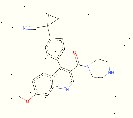 COc1ccc2c(-c3ccc(C4(C#N)CC4)cc3)c(C(=O)N3CCNCC3)cnc2c1